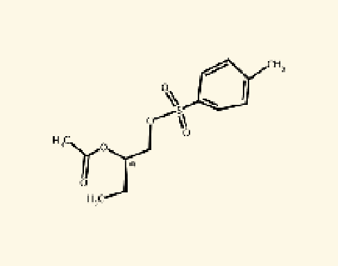 CC[C@H](COS(=O)(=O)c1ccc(C)cc1)OC(C)=O